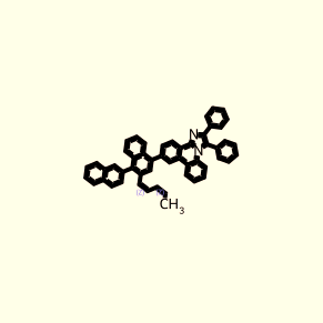 C/C=C\C=C/c1cc(-c2ccc3c(c2)c2ccccc2n2c(-c4ccccc4)c(-c4ccccc4)nc32)c2ccccc2c1-c1ccc2ccccc2c1